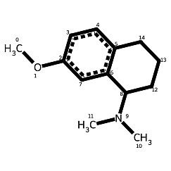 COc1ccc2c(c1)C(N(C)C)CCC2